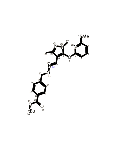 CSc1cccc(Oc2c(/C=N/OCc3ccc(C(=O)OC(C)(C)C)cc3)c(C)nn2C)n1